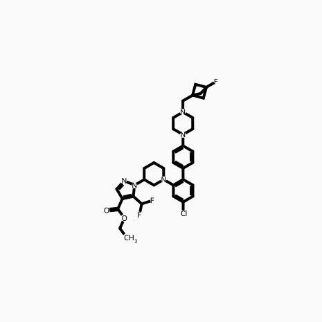 CCOC(=O)c1cnn(C2CCCN(c3cc(Cl)ccc3-c3ccc(N4CCN(CC56CC(F)(C5)C6)CC4)cc3)C2)c1C(F)F